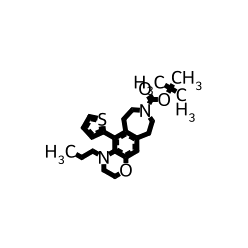 CCCN1CCOc2cc3c(c(-c4cccs4)c21)CCN(C(=O)OC(C)(C)C)CC3